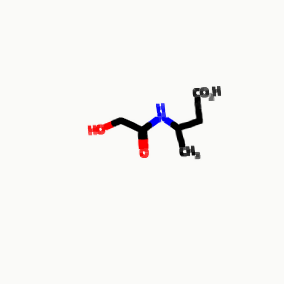 CC(CC(=O)O)NC(=O)CO